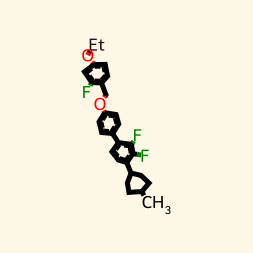 CCOc1ccc(COc2ccc(-c3ccc(C4CCC(C)CC4)c(F)c3F)cc2)c(F)c1